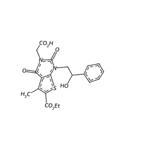 CCOC(=O)c1sc2c(c1C)c(=O)n(CC(=O)O)c(=O)n2CC(O)c1ccccc1